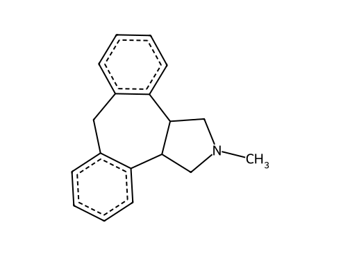 CN1CC2c3ccccc3Cc3ccccc3C2C1